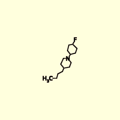 CCCCC1CCN(C2CCC(F)CC2)CC1